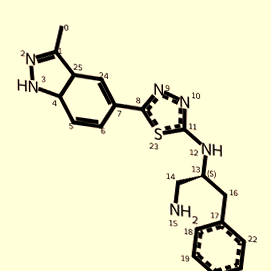 CC1=NNC2C=CC(c3nnc(N[C@H](CN)Cc4ccccc4)s3)=CC12